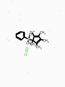 CC[Si](C)(c1ccccc1)C1(C)C(C)=C(C)C(C)=[C]1[Ti+3].[Cl-].[Cl-].[Cl-]